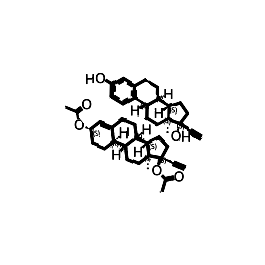 C#C[C@]1(O)CC[C@H]2[C@@H]3CCc4cc(O)ccc4[C@H]3CC[C@@]21C.C#C[C@]1(OC(C)=O)CC[C@H]2[C@@H]3CCC4=C[C@@H](OC(C)=O)CC[C@@H]4[C@H]3CC[C@@]21C